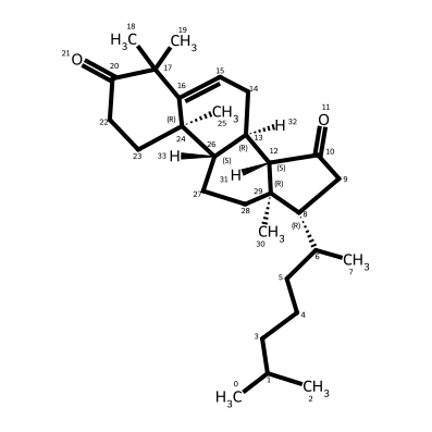 CC(C)CCCC(C)[C@H]1CC(=O)[C@H]2[C@@H]3CC=C4C(C)(C)C(=O)CC[C@]4(C)[C@H]3CC[C@]12C